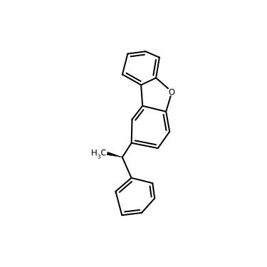 C[C@H](c1ccccc1)c1ccc2oc3ccccc3c2c1